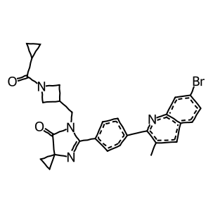 Cc1cc2ccc(Br)cc2nc1-c1ccc(C2=NC3(CC3)C(=O)N2CC2CN(C(=O)C3CC3)C2)cc1